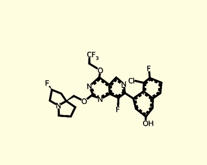 Oc1cc(-c2ncc3c(OCC(F)(F)F)nc(OC[C@@]45CCCN4C[C@H](F)C5)nc3c2F)c2c(Cl)c(F)ccc2c1